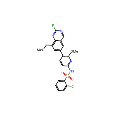 COCc1cc(-c2ccc(NS(=O)(=O)c3ccccc3Cl)nc2OC)cc2cnc(F)nc12